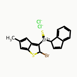 CC1=CC2=[C]([Zr+2](=[S])[CH]3C=Cc4ccccc43)C(Br)SC2=C1.[Cl-].[Cl-]